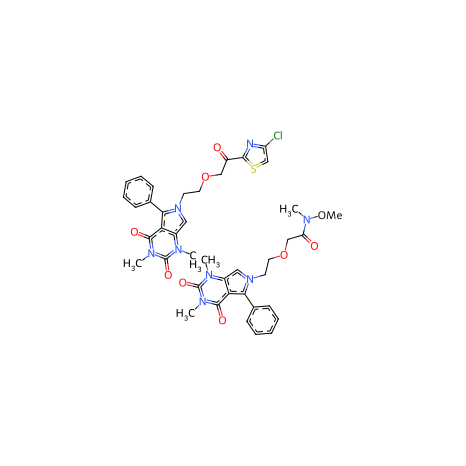 CON(C)C(=O)COCCn1cc2c(c1-c1ccccc1)c(=O)n(C)c(=O)n2C.Cn1c(=O)c2c(-c3ccccc3)n(CCOCC(=O)c3nc(Cl)cs3)cc2n(C)c1=O